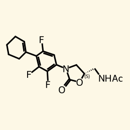 CC(=O)NC[C@H]1CN(c2cc(F)c(C3=CCCCC3)c(F)c2F)C(=O)O1